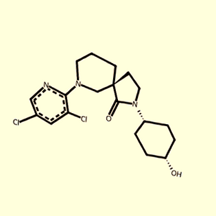 O=C1N([C@H]2CC[C@@H](O)CC2)CC[C@@]12CCCN(c1ncc(Cl)cc1Cl)C2